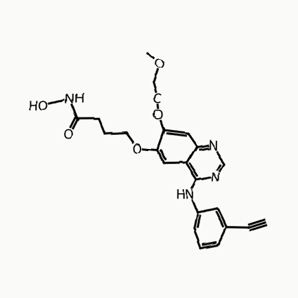 C#Cc1cccc(Nc2ncnc3cc(OCCOC)c(OCCCC(=O)NO)cc23)c1